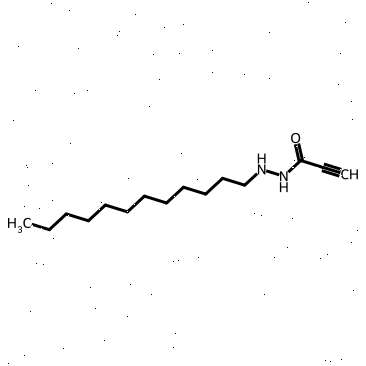 C#CC(=O)NNCCCCCCCCCCCC